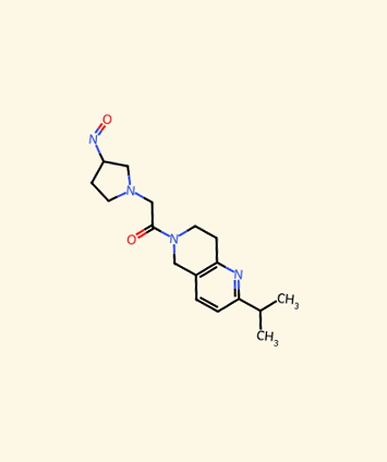 CC(C)c1ccc2c(n1)CCN(C(=O)CN1CCC(N=O)C1)C2